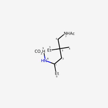 CCC(CC(C)(CC)CNC(C)=O)NC(=O)O